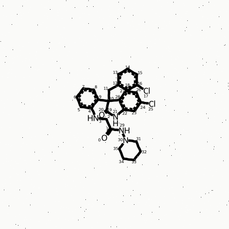 O=C(CNc1ccccc1C1(Cc2cccc(Cl)c2)C(=O)Nc2cc(Cl)ccc21)NN1CCCCC1